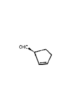 O=C[C@@H]1C=CCC1